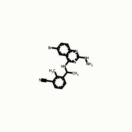 Cc1c(C#N)cccc1C(C)Nc1nc(NN)nc2ccc(Br)cc12